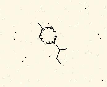 OCC(O)c1ncc(Br)cn1